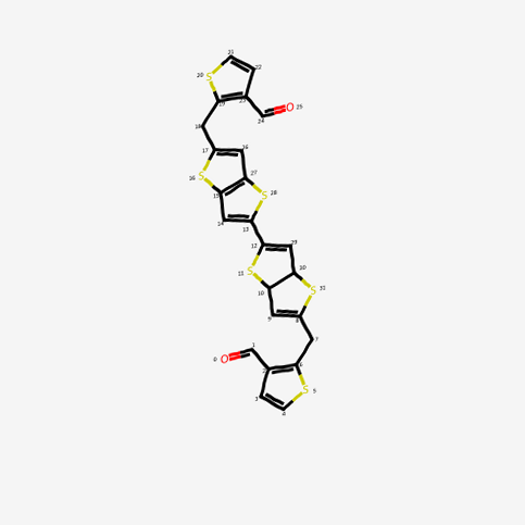 O=Cc1ccsc1CC1=CC2SC(c3cc4sc(Cc5sccc5C=O)cc4s3)=CC2S1